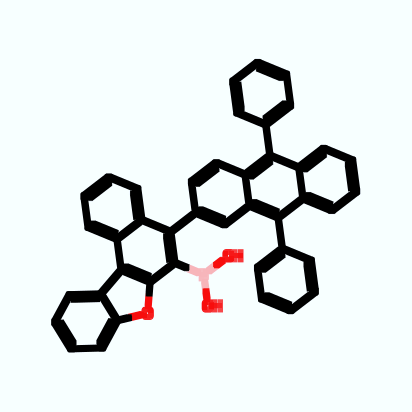 OB(O)c1c(-c2ccc3c(-c4ccccc4)c4ccccc4c(-c4ccccc4)c3c2)c2ccccc2c2c1oc1ccccc12